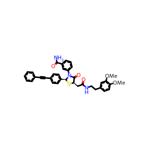 COc1ccc(CCNC(=O)C[C@H]2S[C@@H](c3ccc(C#Cc4ccccc4)cc3)N(c3cccc(C(N)=O)c3)C2=O)cc1OC